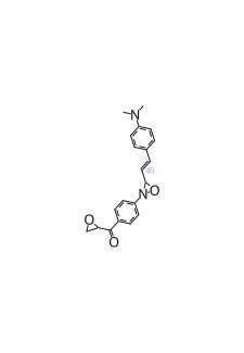 CN(C)c1ccc(/C=C/C2ON2c2ccc(C(=O)C3CO3)cc2)cc1